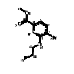 COC(=O)c1ccc(Br)c(OCCF)n1